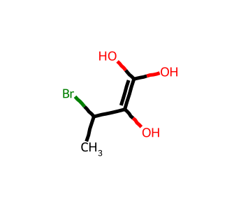 CC(Br)C(O)=C(O)O